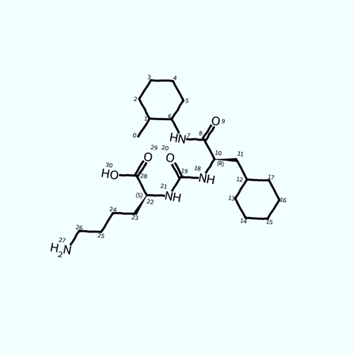 CC1CCCCC1NC(=O)[C@@H](CC1CCCCC1)NC(=O)N[C@@H](CCCCN)C(=O)O